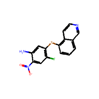 Nc1cc(Sc2cccc3cnccc23)c(F)cc1[N+](=O)[O-]